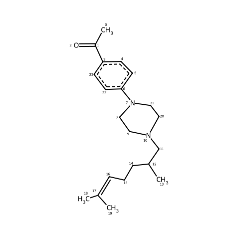 CC(=O)c1ccc(N2CCN(CC(C)CCC=C(C)C)CC2)cc1